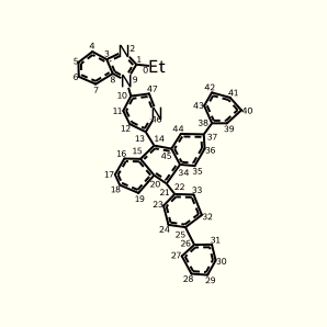 CCc1nc2ccccc2n1-c1ccc(-c2c3ccccc3c(-c3ccc(-c4ccccc4)cc3)c3ccc(-c4ccccc4)cc23)nc1